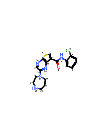 O=C(Nc1ccccc1Cl)c1csc2ncc(N3CCCNCC3)nc12